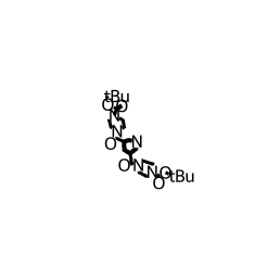 CC(C)(C)OC(=O)N1CCN(C(=O)c2cncc(C(=O)N3CCN(C(=O)OC(C)(C)C)CC3)c2)CC1